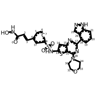 O=C(/C=C/c1cccc(S(=O)(=O)Nc2cc3nc(-c4cccc5[nH]ncc45)nc(N4CCOCC4)c3s2)c1)NO